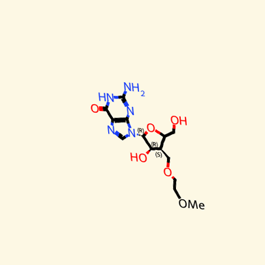 COCCOC[C@@H]1C(CO)O[C@@H](n2cnc3c(=O)[nH]c(N)nc32)[C@@H]1O